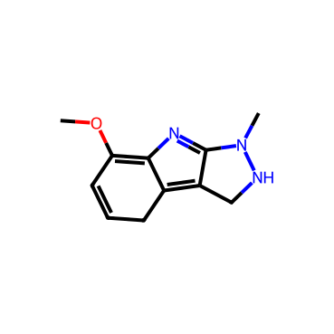 COC1=C2N=C3C(=C2CC=C1)CNN3C